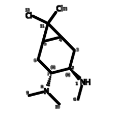 CN[C@@H]1CC2C(C[C@H]1N(C)C)C2(Cl)Cl